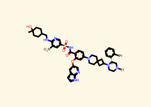 CCN1CCN(C2CC3(CCN(c4ccc(C(=O)NS(=O)(=O)c5cnc(NCC6CCC(C)(O)CC6)c([N+](=O)[O-])c5)c(Oc5cnc6[nH]ccc6c5)c4)CC3)C2)[C@H](c2ccccc2C(C)C)C1